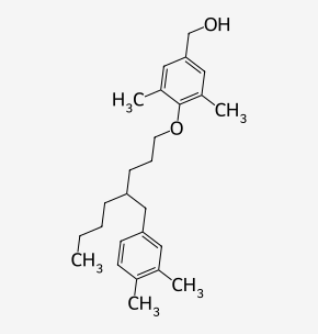 CCCCC(CCCOc1c(C)cc(CO)cc1C)Cc1ccc(C)c(C)c1